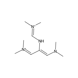 CN(C)/C=C(/C=[N+](C)C)NC=[N+](C)C